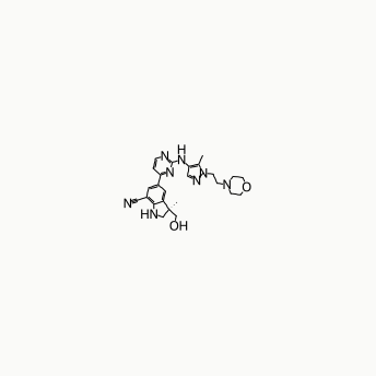 Cc1c(Nc2nccc(-c3cc(C#N)c4c(c3)[C@@](C)(CO)CN4)n2)cnn1CCN1CCOCC1